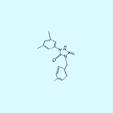 C=C1NN(c2cc(C)cc(C)c2)C(=O)N1Cc1ccc(C)cc1